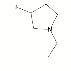 CCN1CCC(I)C1